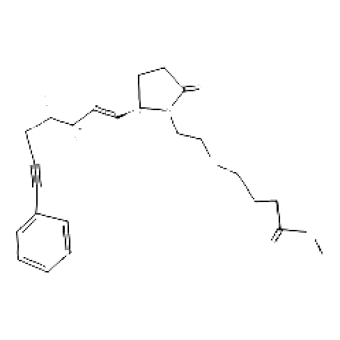 COC(=O)CCCSCCN1C(=O)CC[C@@H]1C=C[C@H](O)[C@@H](C)CC#Cc1ccccc1